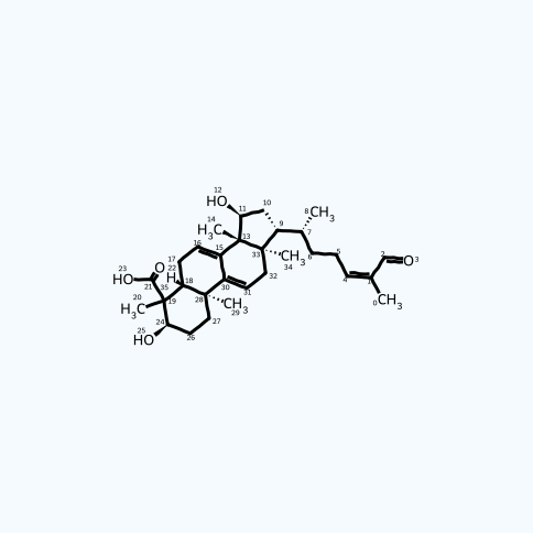 CC(C=O)=CCC[C@@H](C)[C@H]1C[C@H](O)[C@@]2(C)C3=CC[C@H]4C(C)(C(=O)O)[C@H](O)CC[C@]4(C)C3=CC[C@]12C